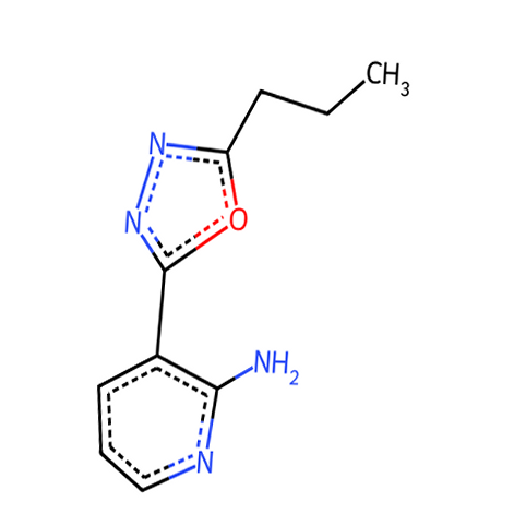 CCCc1nnc(-c2cccnc2N)o1